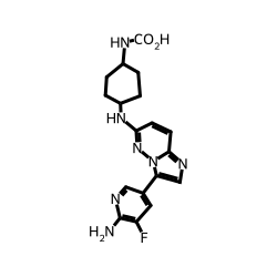 Nc1ncc(-c2cnc3ccc(NC4CCC(NC(=O)O)CC4)nn23)cc1F